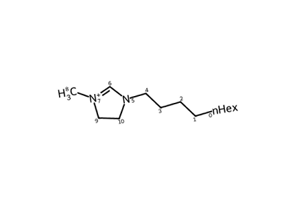 CCCCCCCCCCN1C=[N+](C)CC1